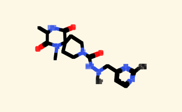 CC1NC(=O)C2(CCN(C(=O)NN(Cc3ccnc(C#N)n3)C(C)C)CC2)N(C)C1=O